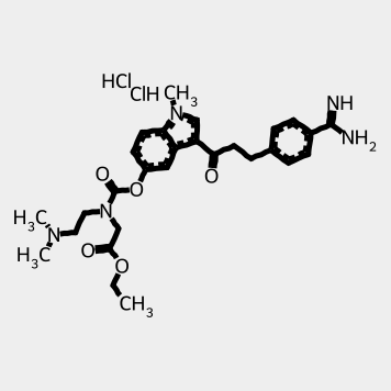 CCOC(=O)CN(CCN(C)C)C(=O)Oc1ccc2c(c1)c(C(=O)CCc1ccc(C(=N)N)cc1)cn2C.Cl.Cl